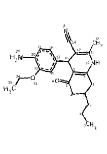 CCCC1CC(=O)C2=C(C1)NC(C)=C(C#N)C2c1ccc(N)c(OCC)c1